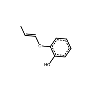 CC=COc1ccccc1O